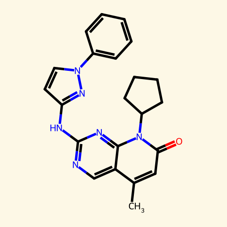 Cc1cc(=O)n(C2CCCC2)c2nc(Nc3ccn(-c4ccccc4)n3)ncc12